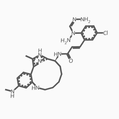 CNc1ccc2c(c1)NCCCCC[C@H](NC(=O)/C=C/c1cc(Cl)ccc1N(N)/C=N\N)c1nc-2c(C)[nH]1